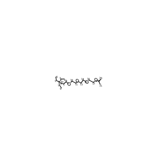 CC[N+](CC)(CC)CCOCCOCCOCCOC(C)C